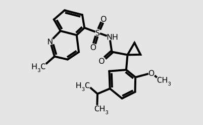 COc1ccc(C(C)C)cc1C1(C(=O)NS(=O)(=O)c2cccc3nc(C)ccc23)CC1